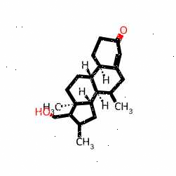 CC1C[C@H]2[C@@H]3C(C)CC4=CC(=O)CC[C@@H]4[C@H]3CC[C@]2(C)C1CO